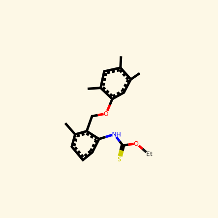 CCOC(=S)Nc1cccc(C)c1COc1cc(C)c(C)cc1C